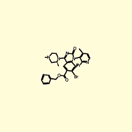 Cc1ccnc(C(C)C)c1-n1c(=O)nc(N2CCN(C)C[C@@H]2C)c2cc(C(=O)OCc3ccccc3)c(Br)c(F)c21